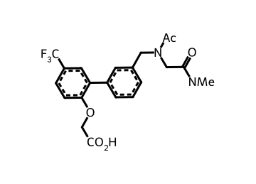 CNC(=O)CN(Cc1cccc(-c2cc(C(F)(F)F)ccc2OCC(=O)O)c1)C(C)=O